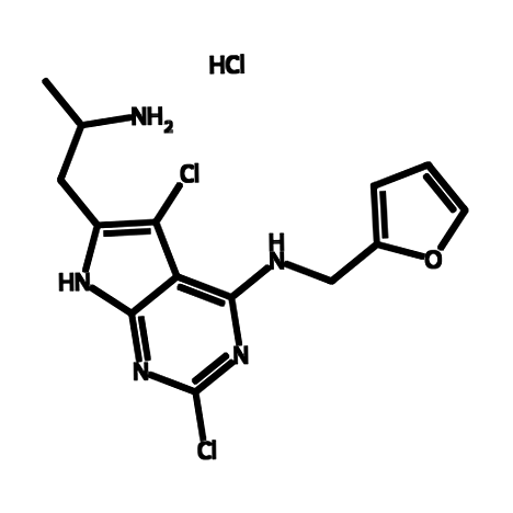 CC(N)Cc1[nH]c2nc(Cl)nc(NCc3ccco3)c2c1Cl.Cl